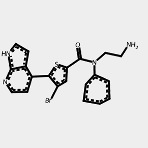 NCCN(C(=O)c1cc(Br)c(-c2ccnc3[nH]ccc23)s1)c1ccccc1